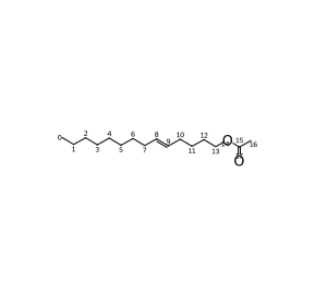 CCCCCCCC/C=C/CCCCOC(C)=O